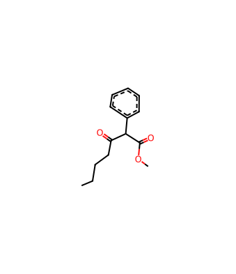 CCCCC(=O)C(C(=O)OC)c1ccccc1